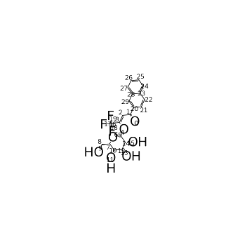 O=C(/C=C(\OC1O[C@H](CO)[C@H](O)[C@H](O)[C@H]1O)C(F)(F)F)c1ccc2ccccc2c1